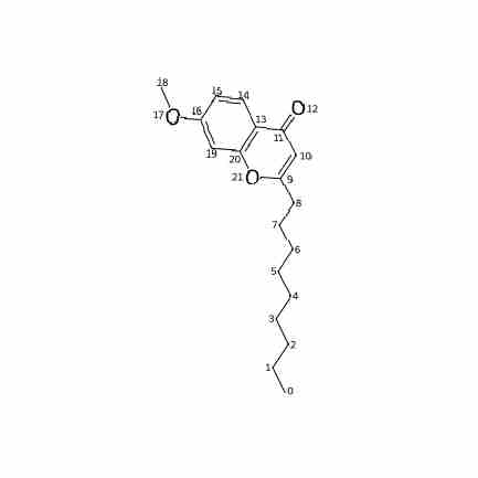 CCCCCCCCCc1cc(=O)c2ccc(OC)cc2o1